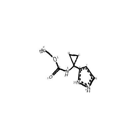 CC(C)(C)OC(=O)NC1(c2cc[nH]n2)CC1